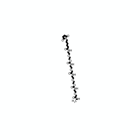 CNC(=O)COCCNC(=O)OCCOCCNC(=O)COCCNC(=O)OCCOCCNC(=O)CCCCCN1C(=O)C=CC1=O